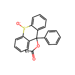 CCC(=O)OC1(c2ccccc2)c2ccccc2[S+]([O-])c2ccccc21